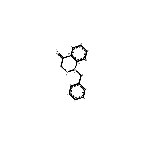 O=C1CSN(Cc2ccccc2)c2ccccc21